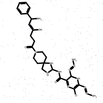 NN=NC1=C(Cl)N=C(C(=O)NC2NCC3(CCN(C(=O)CC/C(O)=C/C(N)c4ccccc4)CC3)N2)C(N=NN)N1